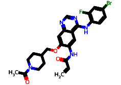 C=CC(=O)Nc1cc2c(Nc3ccc(Br)cc3F)ncnc2cc1OCC1CCN(C(C)=O)CC1